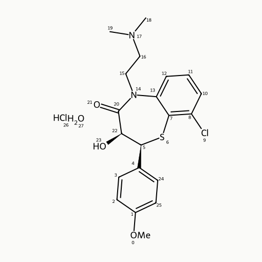 COc1ccc([C@@H]2Sc3c(Cl)cccc3N(CCN(C)C)C(=O)[C@@H]2O)cc1.Cl.O